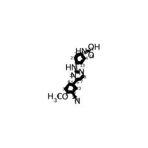 COc1ccc(-c2ccnc(Nc3ccc(NC(=O)O)cc3)n2)cc1C#N